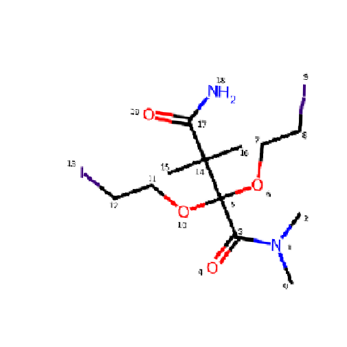 CN(C)C(=O)C(OCCI)(OCCI)C(C)(C)C(N)=O